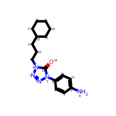 Nc1ccc(-n2nnn(CCCC3CCCCC3)c2=O)cc1